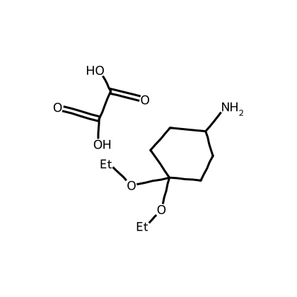 CCOC1(OCC)CCC(N)CC1.O=C(O)C(=O)O